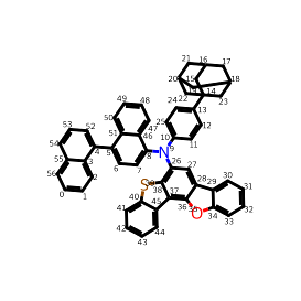 c1ccc2c(-c3ccc(N(c4ccc(C56CC7CC(CC(C7)C5)C6)cc4)c4cc5c6ccccc6oc5c5c4sc4ccccc45)c4ccccc34)cccc2c1